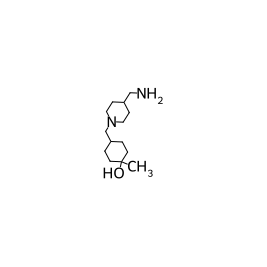 CC1(O)CCC(CN2CCC(CN)CC2)CC1